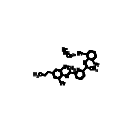 C=CCc1cc(C(C)C)c(N=C(C)c2cccc(C(C)=Nc3c(C(C)C)cccc3C(C)C)n2)c(C(C)C)c1.[Br-].[Br-].[Co+2]